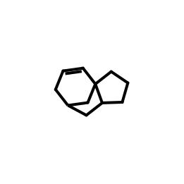 C1=CC23CCCC2CC(C1)C3